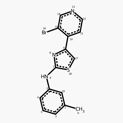 Cc1cccc(Nc2nc(-c3ccncc3Br)cs2)c1